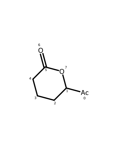 CC(=O)C1CCCC(=O)O1